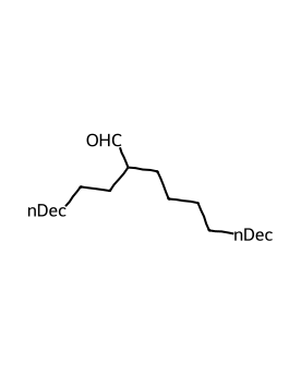 CCCCCCCCCCCCCCC(C=O)CCCCCCCCCCCC